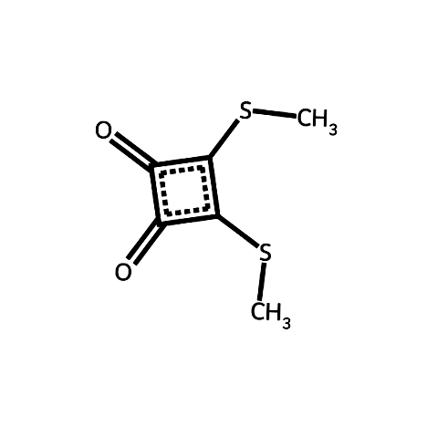 CSc1c(SC)c(=O)c1=O